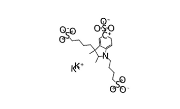 CC1N(CCCCS(=O)(=O)[O-])C2=CC[C+](S(=O)(=O)[O-])C=C2C1(C)CCCCS(=O)(=O)[O-].[K+].[K+]